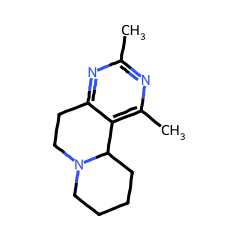 Cc1nc(C)c2c(n1)CCN1CCCCC21